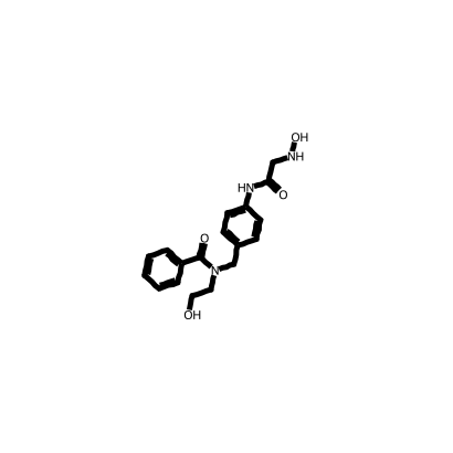 O=C(CNO)Nc1ccc(CN(CCO)C(=O)c2ccccc2)cc1